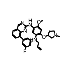 C=CCNc1cc(Nc2ncc3cccc(-c4cccc(F)c4)c3n2)c(OC)cc1OC1CCN(C)C1